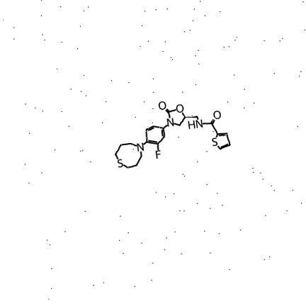 O=C(NC[C@H]1CN(c2ccc(N3CCCSCCC3)c(F)c2)C(=O)O1)c1cccs1